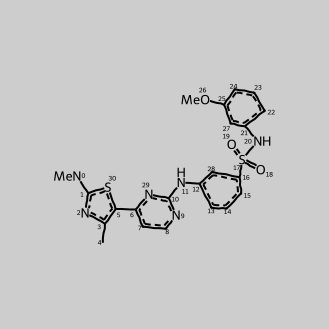 CNc1nc(C)c(-c2ccnc(Nc3cccc(S(=O)(=O)Nc4cccc(OC)c4)c3)n2)s1